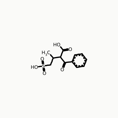 CC(CS(=O)(=O)O)C(C(=O)O)C(=O)c1ccccc1